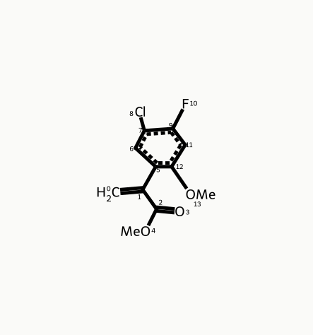 C=C(C(=O)OC)c1cc(Cl)c(F)cc1OC